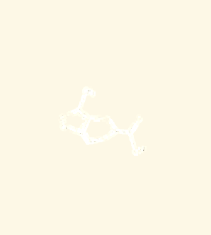 Cc1coc2ccc(C(=O)O)cc12